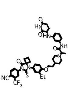 CCc1cc(N2C(=S)N(c3ccc(C#N)c(C(F)(F)F)c3)C(=O)C23CCC3)ccc1OCCC1CCN(C(C)C(=O)Nc2cccc(NC3CCC(=O)NC3=O)c2)CC1